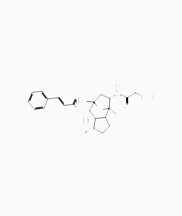 CC(C)C12C[C@@H](NC(=O)CO)C(C)(O1)C1CC[C@@H](C)[C@H]1[C@@H]2OC(=O)/C=C/c1ccccc1